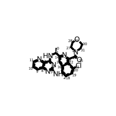 C[C@H](Nc1nc(N)nc2cccnc12)c1cc2cccc(Cl)c2c(C(=O)N2CCOCC2)n1